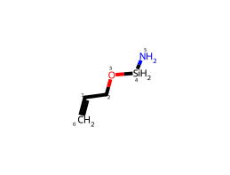 C=CCO[SiH2]N